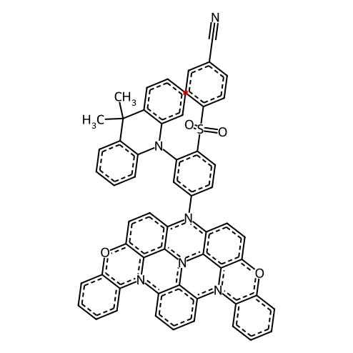 CC1(C)c2ccccc2N(c2cc(-n3c4ccc5oc6ccccc6n6c7cccc8c7n(c4c56)c4c3ccc3oc5ccccc5n8c34)ccc2S(=O)(=O)c2ccc(C#N)cc2)c2ccccc21